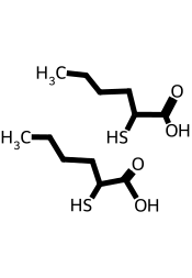 CCCCC(S)C(=O)O.CCCCC(S)C(=O)O